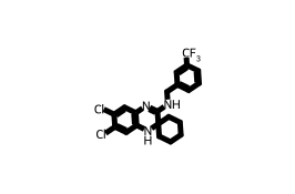 FC(F)(F)c1cccc(CNC2=Nc3cc(Cl)c(Cl)cc3NC23CCCCC3)c1